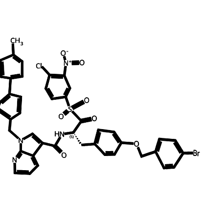 Cc1ccc(-c2ccc(Cn3cc(C(=O)N[C@@H](Cc4ccc(OCc5ccc(Br)cc5)cc4)C(=O)S(=O)(=O)c4ccc(Cl)c([N+](=O)[O-])c4)c4cccnc43)cc2)cc1